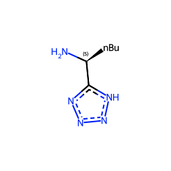 CCCC[C@H](N)c1nnn[nH]1